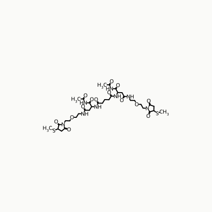 CSC1CC(=O)N(CCOCCNC(=O)CC(NC(=O)CCCC(=O)NC(CC(=O)NCCOCCN2C(=O)CC(SC)C2=O)C(=O)NC(C)=O)C(=O)NC(C)=O)C1=O